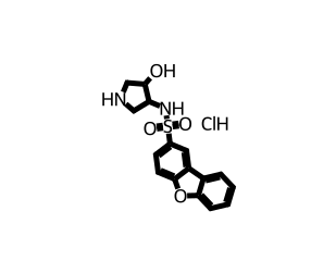 Cl.O=S(=O)(NC1CNCC1O)c1ccc2oc3ccccc3c2c1